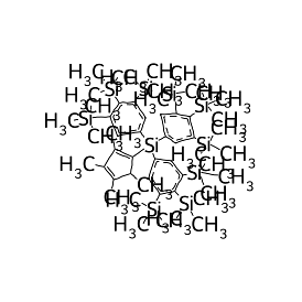 CC1=C(C)C(C)C([Si](c2cc([Si](C)(C)C)c([Si](C)(C)C)c([Si](C)(C)C)c2)(c2cc([Si](C)(C)C)c([Si](C)(C)C)c([Si](C)(C)C)c2)c2cc([Si](C)(C)C)c([Si](C)(C)C)c([Si](C)(C)C)c2)=C1C